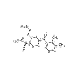 CSCCC1CN(C(=O)c2cccc(C)c2C)CCN1C(=O)OC(C)(C)C